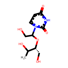 CC(O)[C@@H](CO)OC(CO)n1ccc(=O)[nH]c1=O